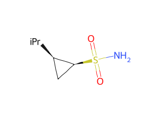 CC(C)[C@@H]1C[C@@H]1S(N)(=O)=O